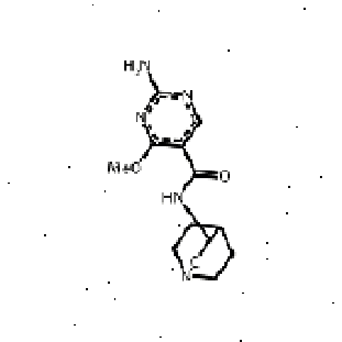 COc1nc(N)ncc1C(=O)NC1CN2CCC1CC2